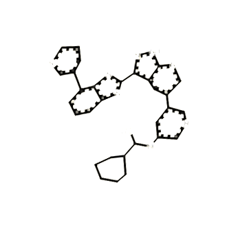 OC(Nc1cncc(-c2cnc3[nH]nc(-c4nc5c(-c6cccnc6)cccc5[nH]4)c3c2)c1)C1CCCCC1